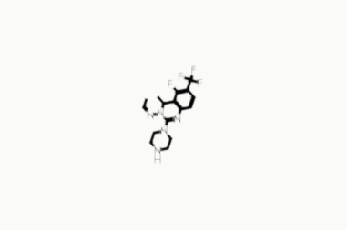 C/C=N\N1C(N2CCNCC2)=Nc2ccc(C(F)(F)F)c(F)c2C1C